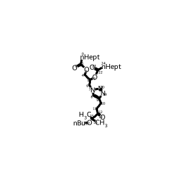 CCCCCCCC(=O)OCC(Cn1cc(CCC(=O)C(C)(C)OCCCC)nn1)OC(=O)CCCCCCC